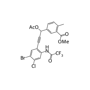 COC(=O)c1cc(C(C#Cc2cc(Br)c(Cl)cc2NC(=O)C(F)(F)F)OC(C)=O)ccc1C